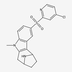 Cn1c2c(c3cc(S(=O)(=O)c4cc(Cl)ccn4)ccc31)C1CCC(C2)N1